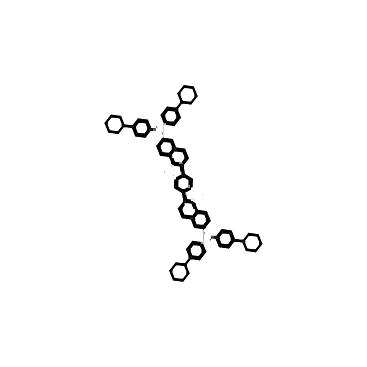 c1cc(N(c2ccc(C3CCCCC3)cc2)c2ccc3c(ccc4c5cc6oc7c8ccc(N(c9ccc(C%10CCCCC%10)cc9)c9ccc(C%10CCCCC%10)cc9)cc8ccc7c6cc5oc34)c2)ccc1C1CCCCC1